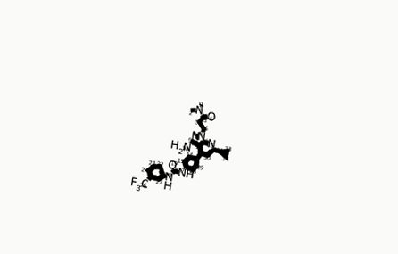 CN(C)C(=O)CCn1nc(N)c2c(-c3ccc(NC(=O)Nc4cccc(C(F)(F)F)c4)cc3)cc(C3CC3)nc21